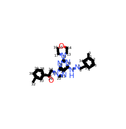 Cc1cccc(C=NNc2nc(N3CCOCC3)nc3c2ncn3CC(=O)c2cccc(C)c2)c1